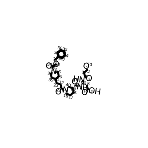 COCCC(=O)N[C@H](CC(=O)O)NC(=O)[C@@H]1CCCN(C(=O)CCC2CCN(C(=O)OCc3ccccc3)CC2)C1